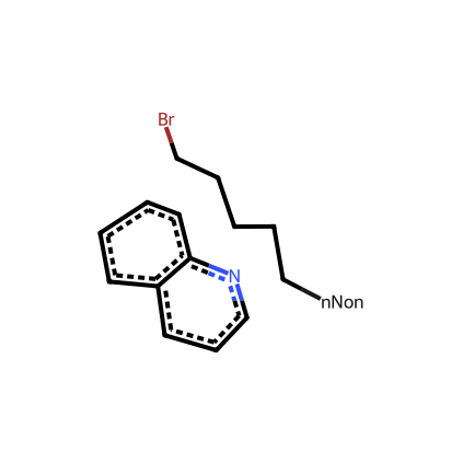 CCCCCCCCCCCCCCBr.c1ccc2ncccc2c1